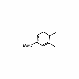 COC1=CCC(C)C(C)=C1